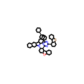 c1ccc(-c2ccc(-c3nc(-c4c(-n5c6cc7ccccc7cc6c6cc7ccccc7cc65)ccc5oc6ccccc6c45)nc(-c4cccc5sc6ccccc6c45)n3)cc2)cc1